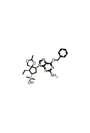 CC[C@@H]1[C@@H]([Si](C)(C)O)C[C@H](n2cnc3c(OCc4ccccc4)nc(N)nc32)[C@]12COC(C)O2